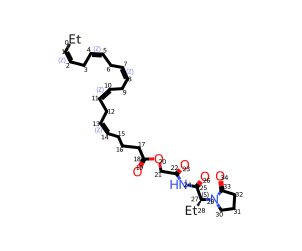 CC/C=C\C/C=C\C/C=C\C/C=C\C/C=C\CCCC(=O)OCC(=O)NC(=O)[C@H](CC)N1CCCC1=O